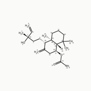 C=C[C@@](C)(O)CC[C@H]1C(=C)C[C@H](OC(N)=O)[C@H]2C(C)(C)CCC[C@]12C